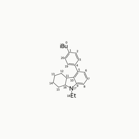 CCC(C)c1ccc(-c2cccc3c2C2CCCCC2N3CC)cc1